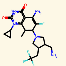 CC1c2c(c(=O)[nH]c(=O)n2C2CC2)C(N)=C(F)C1N1CC(CN)C(CC(F)(F)F)C1